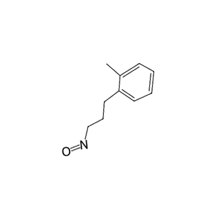 Cc1ccccc1CCCN=O